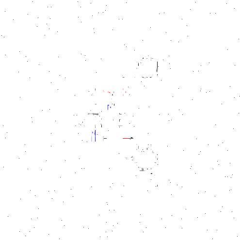 O=C(OCc1ccccc1)N1C[C@H](OCc2ccc(F)cc2)[C@H]2NCC[C@H]21